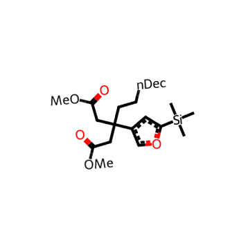 CCCCCCCCCCCCC(CC(=O)OC)(CC(=O)OC)c1coc([Si](C)(C)C)c1